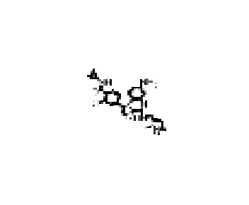 Cn1nccc1CNc1nc2cc(N)ccc2n2c(-c3ccc(C(=O)NC4CC4)c(Cl)c3)cnc12